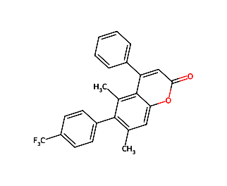 Cc1cc2oc(=O)cc(-c3ccccc3)c2c(C)c1-c1ccc(C(F)(F)F)cc1